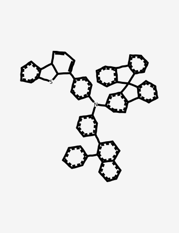 C1=CC2c3ccccc3SC2C(c2ccc(N(c3cccc(-c4ccc5ccccc5c4-c4ccccc4)c3)c3ccc4c(c3)C3(c5ccccc5-c5ccccc53)c3ccccc3-4)cc2)=C1